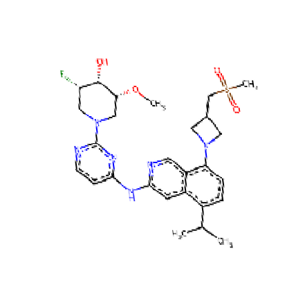 CO[C@@H]1CN(c2nccc(Nc3cc4c(C(C)C)ccc(N5CC(CS(C)(=O)=O)C5)c4cn3)n2)C[C@H](F)[C@@H]1O